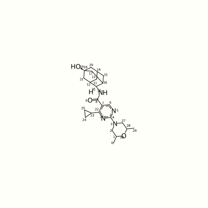 CC1CN(c2ncc(C(=O)N[C@H]3C4CC5CC3C[C@@](O)(C5)C4)c(C3CC3)n2)CC(C)O1